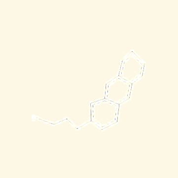 BrCCCc1ccc2cc3ccccc3cc2c1